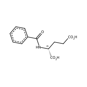 O=C(O)CC[C@@H](NC(=O)c1ccccc1)C(=O)O